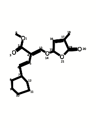 COC(=O)C(/C=C/C1CCCCC1)=C/OC1C=C(C)C(=O)O1